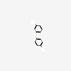 N#Cc1ccc(Sc2cccc(Br)c2)cc1